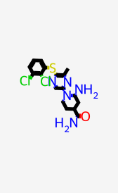 Cc1nc(N2CCC(C(N)=O)CC2N)cnc1Sc1cccc(Cl)c1Cl